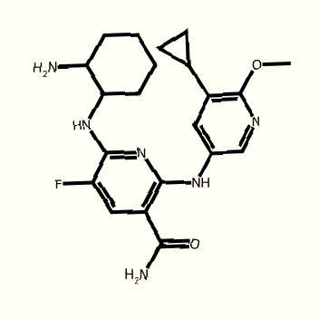 COc1ncc(Nc2nc(NC3CCCCC3N)c(F)cc2C(N)=O)cc1C1CC1